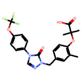 Cc1cc(Cn2ncn(-c3ccc(OC(F)(F)F)cc3)c2=O)ccc1OC(C)(C)C(=O)O